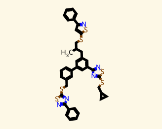 CC(CSc1cc(-c2ccccc2)ns1)Cc1cc(-c2cccc(CSc3nc(-c4ccccc4)ns3)c2)cc(-c2nsc(SCC3CC3)n2)c1